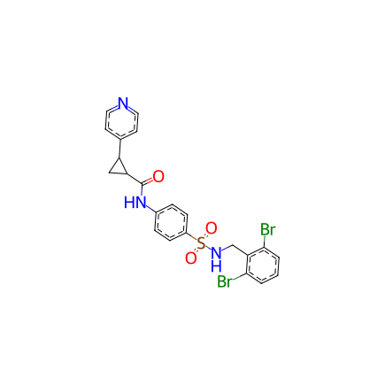 O=C(Nc1ccc(S(=O)(=O)NCc2c(Br)cccc2Br)cc1)C1CC1c1ccncc1